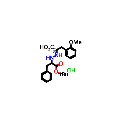 COc1ccccc1C[C@H](NNC(Cc1ccccc1)C(=O)OC(C)(C)C)C(=O)O.Cl